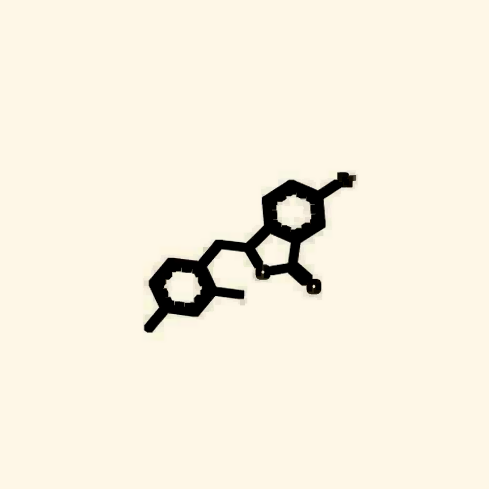 Cc1ccc(CC2OC(=O)c3cc(Br)ccc32)c(C)c1